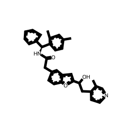 Cc1ccc([C@@H](NC(=O)Cc2ccc3oc(C(O)Cc4ccncc4C)cc3c2)c2ccccc2)c(C)c1